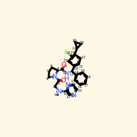 CN(CC(=O)N1CCC[C@H]1C(=O)N[C@@H](c1ccccc1)c1ccc(C2CC2)c(F)c1)c1cnccn1